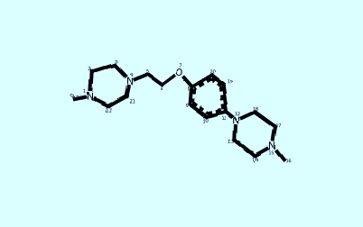 CN1CCN(CCOc2ccc(N3CCN(C)CC3)cc2)CC1